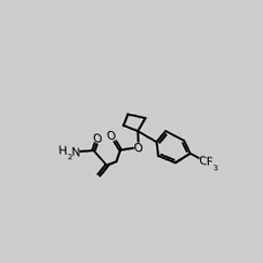 C=C(CC(=O)OC1(c2ccc(C(F)(F)F)cc2)CCC1)C(N)=O